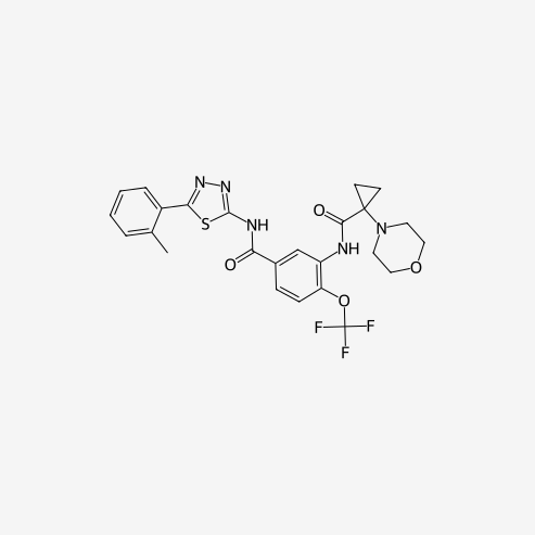 Cc1ccccc1-c1nnc(NC(=O)c2ccc(OC(F)(F)F)c(NC(=O)C3(N4CCOCC4)CC3)c2)s1